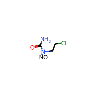 NC(=O)N(CCCl)N=O